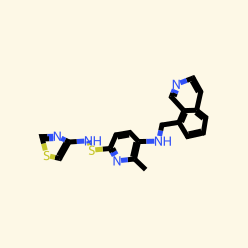 Cc1nc(SNc2cscn2)ccc1NCc1cccc2ccncc12